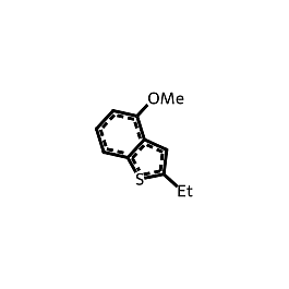 CCc1cc2c(OC)cccc2s1